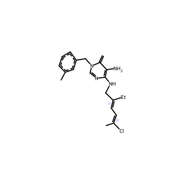 C=C1C(N)=C(NC/C(=C/C=C(\C)Cl)CC)N=CN1Cc1cccc(C)c1